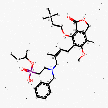 CCC(C)OP(=O)(O)CCN(CC(C)=CCc1c(OC)c(C)c2c(c1OCC[Si](C)(C)C)C(=O)OC2)Cc1ccccc1